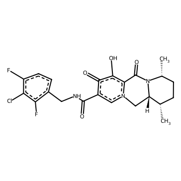 C[C@@H]1CC[C@H](C)[C@@H]2Cn3cc(C(=O)NCc4ccc(F)c(Cl)c4F)c(=O)c(O)c3C(=O)N12